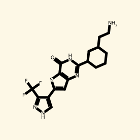 NCCC1CCCC(c2nc3cc(-c4c[nH]nc4C(F)(F)F)sc3c(=O)[nH]2)C1